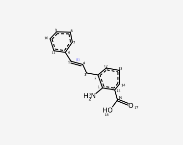 Nc1c(C/C=C/c2ccccc2)cccc1C(=O)O